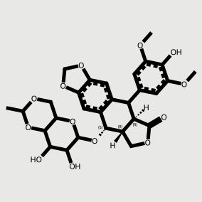 COc1cc(C2c3cc4c(cc3[C@@H](OC3OC5COC(C)OC5C(O)C3O)[C@H]3COC(=O)[C@H]23)OCO4)cc(OC)c1O